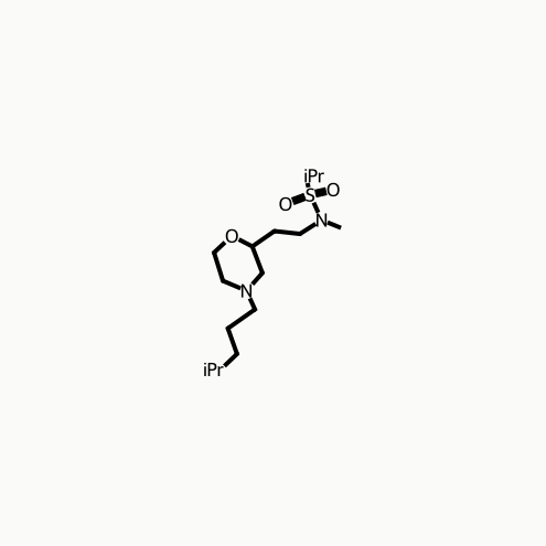 CC(C)CCCN1CCOC(CCN(C)S(=O)(=O)C(C)C)C1